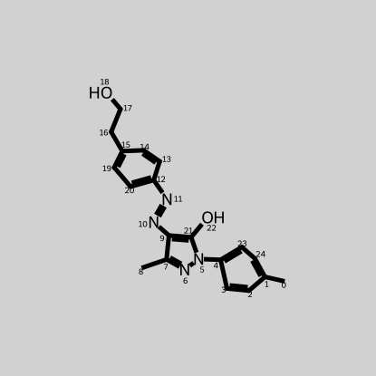 Cc1ccc(-n2nc(C)c(N=Nc3ccc(CCO)cc3)c2O)cc1